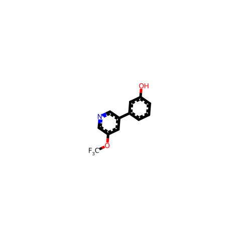 Oc1cccc(-c2cncc(OC(F)(F)F)c2)c1